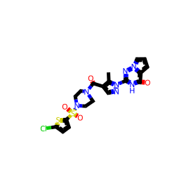 Cc1c(C(=O)N2CCN(S(=O)(=O)c3ccc(Cl)s3)CC2)cnn1-c1nn2cccc2c(=O)[nH]1